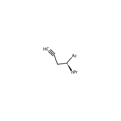 C#CC[C@H](CCC)C(C)=O